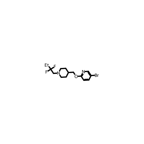 CCC(F)(F)CN1CCC(COc2ccc(Br)cn2)CC1